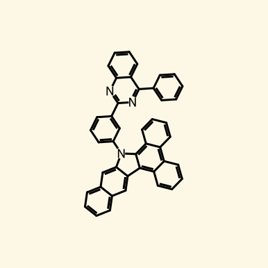 c1ccc(-c2nc(-c3cccc(-n4c5cc6ccccc6cc5c5c6ccccc6c6ccccc6c54)c3)nc3ccccc23)cc1